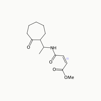 COC(=O)/C=C\C(=O)NC(C)C1CCCCCC1=O